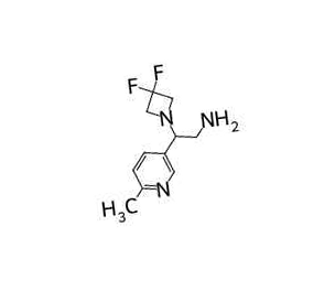 Cc1ccc(C(CN)N2CC(F)(F)C2)cn1